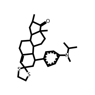 CC1CC2C3CCC4=CC5(CC(c6ccc(N(C)C(C)C)cc6)C4C3CCC2(C)C1=O)SCCS5